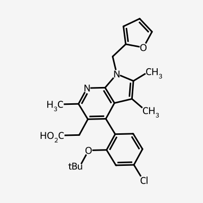 Cc1nc2c(c(C)c(C)n2Cc2ccco2)c(-c2ccc(Cl)cc2OC(C)(C)C)c1CC(=O)O